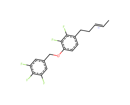 C/C=C/CCc1ccc(OCc2cc(F)c(F)c(F)c2)c(F)c1F